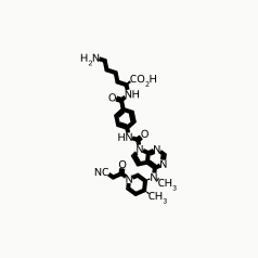 C[C@@H]1CCN(C(=O)CC#N)C[C@@H]1N(C)c1ncnc2c1ccn2C(=O)Nc1ccc(C(=O)N[C@@H](CCCCN)C(=O)O)cc1